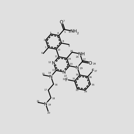 Cc1ccc(C(N)=O)c(C)c1-c1nc(N(C)CCCN(C)C)nc2c1CNC(=O)N2c1c(F)cccc1F